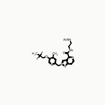 CC(=O)NCCNC(=O)c1nccc2nn(Cc3cc(C)c(OCC(C)(F)F)cn3)cc12